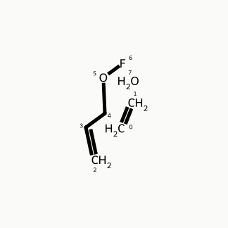 C=C.C=CCOF.O